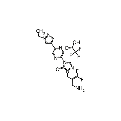 CCn1cc(-c2cnc(-n3cnn(CC(CN)=C(F)F)c3=O)cn2)cn1.O=C(O)C(F)(F)F